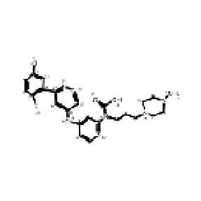 CN1CCN(CCCN(C(=O)O)c2cc(Nc3cnnc(-c4cc(Cl)ccc4F)c3)ccn2)CC1